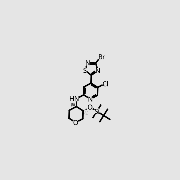 CC(C)(C)[Si](C)(C)O[C@@H]1COCC[C@H]1Nc1cc(-c2nc(Br)ns2)c(Cl)cn1